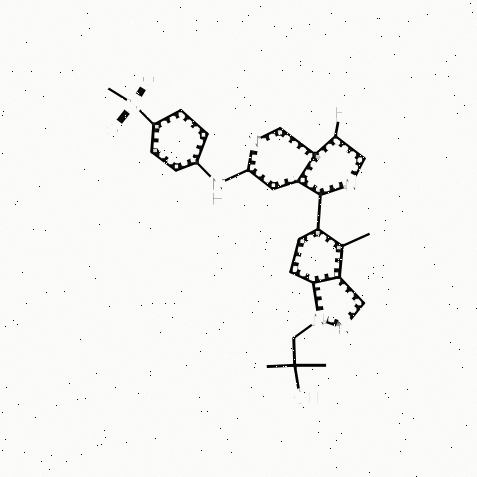 Cc1c(-c2ncc(F)c3cnc(Nc4ccc(S(C)(=O)=O)cc4)cc23)ccc2c1cnn2CC(C)(C)O